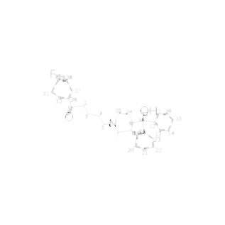 O=C(CCCCN1CCC(C(O)(c2ccccc2)c2ccccc2)CC1)c1ccc(F)cc1